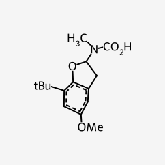 COc1cc2c(c(C(C)(C)C)c1)OC(N(C)C(=O)O)C2